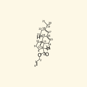 C=CCOC(=O)[C@]1(C)CCC[C@@]2(C)[C@H]1CC=C1C=C(C(C)C)CC[C@@H]12